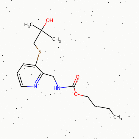 CCCCOC(=O)NCc1ncccc1SCC(C)(C)O